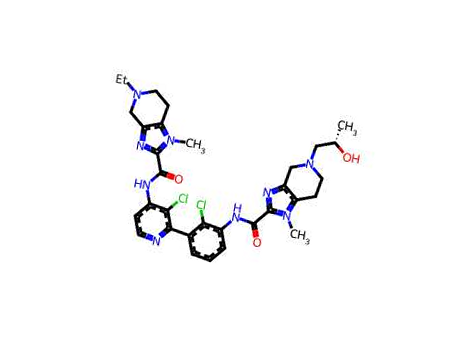 CCN1CCc2c(nc(C(=O)Nc3ccnc(-c4cccc(NC(=O)c5nc6c(n5C)CCN(C[C@H](C)O)C6)c4Cl)c3Cl)n2C)C1